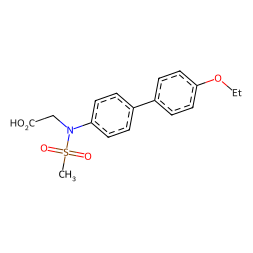 CCOc1ccc(-c2ccc(N(CC(=O)O)S(C)(=O)=O)cc2)cc1